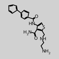 NCCNCc1scc(NC(=O)c2ccc(-c3ccccc3)cc2)c1C(N)=O